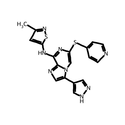 Cc1cc(Nc2nc(Sc3ccncc3)cn3c(-c4cn[nH]c4)cnc23)sn1